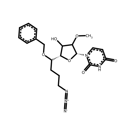 COC1C(O)[C@@H](C(CCCN=[N+]=[N-])OCc2ccccc2)O[C@H]1n1ccc(=O)[nH]c1=O